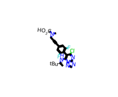 C[C@@H](Nc1c(-c2c(F)cc(C#CCN(C)C(=O)O)cc2F)c(Cl)nc2ncnn12)C(C)(C)C